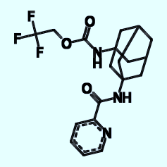 O=C(NC12CC3CC(C1)CC(NC(=O)c1ccccn1)(C3)C2)OCC(F)(F)F